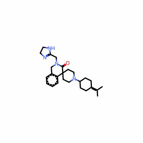 CC(C)=C1CCC(N2CCC3(CC2)C(=O)N(CC2=NCCN2)Cc2ccccc23)CC1